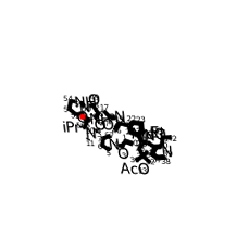 C=CC(=O)N1CC[C@H](C(=O)N(C)[C@H](C(=O)N[C@@H](Cc2nc(-c3ccc4c(c3)c(CC(C)(C)COC(C)=O)c(-c3cccnc3[C@H](C)OC)n4CC)co2)C(=O)N2CCCCN2)C(C)C)C1